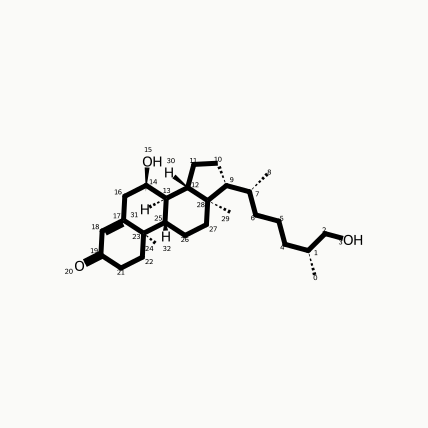 C[C@@H](CO)CCC[C@@H](C)[C@H]1CC[C@H]2[C@@H]3[C@H](O)CC4=CC(=O)CC[C@]4(C)[C@H]3CC[C@]12C